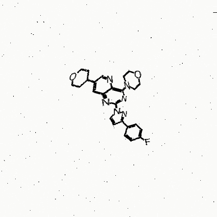 Fc1ccc(-c2ccn(-c3nc(N4CCOCC4)c4ncc(C5CCOCC5)cc4n3)n2)cc1